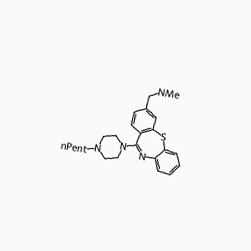 CCCCCN1CCN(C2=Nc3ccccc3Sc3cc(CNC)ccc32)CC1